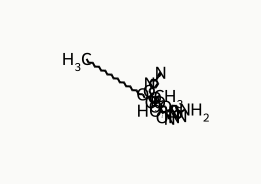 CCCCCCCCCCCCCCCCCCOC[C@H](COc1ccc(C#N)cn1)OP(=O)(OC)O[C@H]1O[C@@](C#N)(c2ccc3c(N)ncnn23)[C@H](O)[C@@H]1O